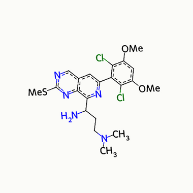 COc1cc(OC)c(Cl)c(-c2cc3cnc(SC)nc3c(C(N)CCN(C)C)n2)c1Cl